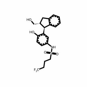 O=S(=O)(CCCC(F)(F)F)Nc1ccc(O)c([C@@H]2c3ccccc3C[C@H]2CO)c1